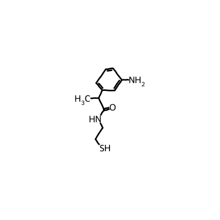 CC(C(=O)NCCS)c1cccc(N)c1